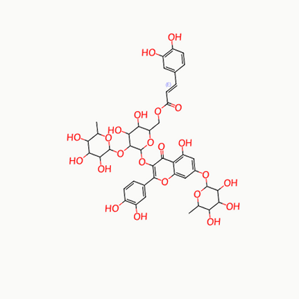 CC1OC(Oc2cc(O)c3c(=O)c(OC4OC(COC(=O)/C=C/c5ccc(O)c(O)c5)C(O)C(O)C4OC4OC(C)C(O)C(O)C4O)c(-c4ccc(O)c(O)c4)oc3c2)C(O)C(O)C1O